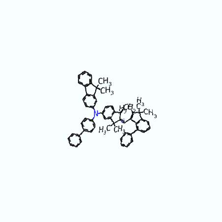 C=C1/C(=C\C2=C(C)C(C)(C)c3cccc(-c4ccccc4)c32)C(C)(C)c2cc(N(c3ccc(-c4ccccc4)cc3)c3ccc4c(c3)C(C)(C)c3ccccc3-4)ccc21